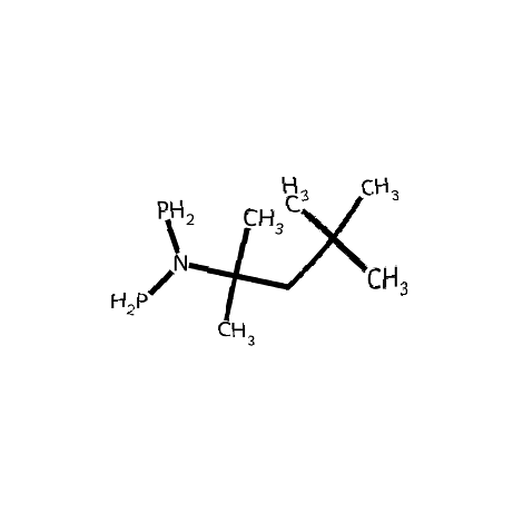 CC(C)(C)CC(C)(C)N(P)P